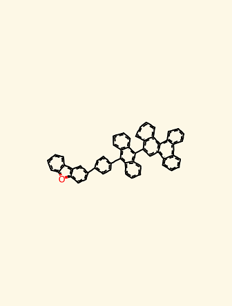 c1ccc2c(c1)oc1ccc(-c3ccc(-c4c5ccccc5c(-c5cc6c7ccccc7c7ccccc7c6c6ccccc56)c5ccccc45)cc3)cc12